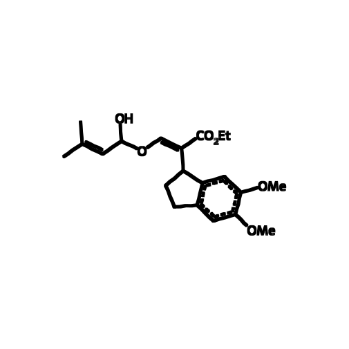 CCOC(=O)/C(=C/OC(O)C=C(C)C)C1CCc2cc(OC)c(OC)cc21